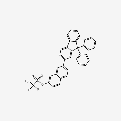 O=S(=O)(Oc1ccc2ccc(-c3ccc4c(c3)C(c3ccccc3)(c3ccccc3)c3ccccc3-4)cc2c1)C(F)(F)C(F)(F)F